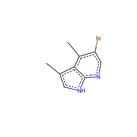 Cc1c[nH]c2ncc(Br)c(C)c12